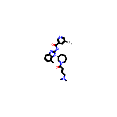 Cc1cccc2nc(NC(=O)c3cncc(C(F)(F)F)c3)n([C@@H]3CCCCN(C(=O)C=CCN(C)C)C3)c12